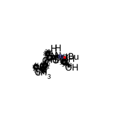 C[C@H]1CCCCN1c1nnc2ccc(O[C@@H]3CC[C@H](NC(=O)N/C(=C/C(=N)C(C)(C)C)Nc4ccc(CO)cc4)c4ccccc43)cn12